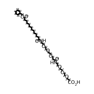 O=C(O)CCOCCOCCOCCNC(=O)CCOCCOCCOCCNC(=O)CCCCCCCCCCCCC(=O)OCc1ccccc1